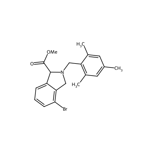 COC(=O)C1c2cccc(Br)c2CN1Cc1c(C)cc(C)cc1C